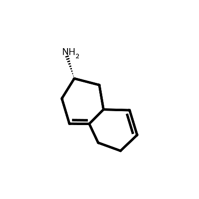 N[C@H]1CC=C2CCC=CC2C1